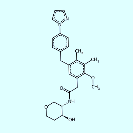 COc1c(CC(=O)N[C@H]2COCC[C@@H]2O)cc(Cc2ccc(-n3cccn3)cc2)c(C)c1C